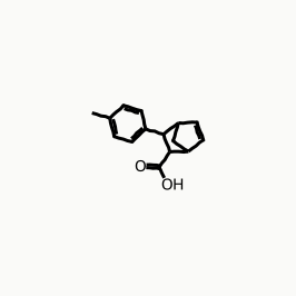 Cc1ccc(C2C3C=CC(C3)C2C(=O)O)cc1